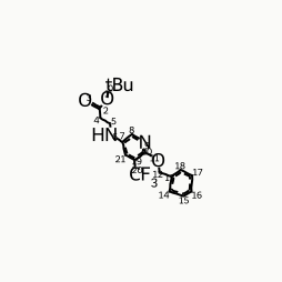 CC(C)(C)OC(=O)CCNc1cnc(OCc2ccccc2)c(C(F)(F)F)c1